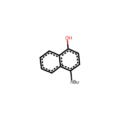 [CH2]CC[CH]c1ccc(O)c2ccccc12